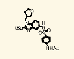 CC(=O)Nc1ccc(S(=O)(=O)Nc2ccc3c(c2)nc(C(C)(C)C)n3CC2CCOC2)cc1